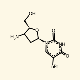 CCCc1cn([C@H]2CC(N)[C@@H](CO)O2)c(=O)[nH]c1=O